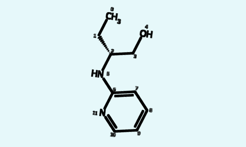 CC[C@H](CO)Nc1ccccn1